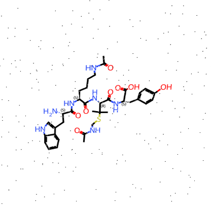 CC(=O)NCCCC[C@H](NC(=O)[C@@H](N)Cc1c[nH]c2ccccc12)C(=O)N[C@H](C(=O)N[C@@H](Cc1ccc(O)cc1)C(=O)O)C(C)(C)SCNC(C)=O